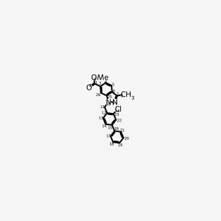 COC(=O)c1ccc2c(C)nn(Cc3ccc(-c4ccccc4)cc3Cl)c2c1